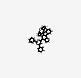 c1ccc(-c2nc(-c3ccccc3)nc(-c3cc4c(c5sccc35)-c3ccccc3C43c4ccccc4Sc4ccccc43)n2)cc1